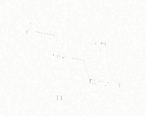 C=C(C(=O)O)C(C)NC(F)CCC